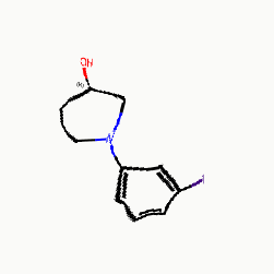 O[C@@H]1CCN(c2cccc(I)c2)C1